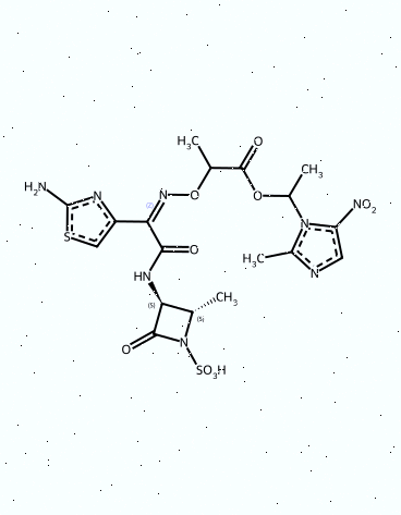 Cc1ncc([N+](=O)[O-])n1C(C)OC(=O)C(C)O/N=C(\C(=O)N[C@@H]1C(=O)N(S(=O)(=O)O)[C@H]1C)c1csc(N)n1